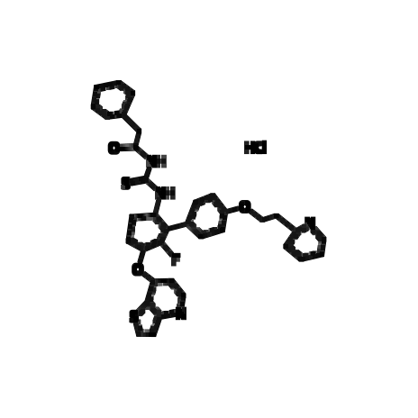 Cl.O=C(Cc1ccccc1)NC(=S)Nc1ccc(Oc2ccnc3ccsc23)c(F)c1-c1ccc(OCCc2ccccn2)cc1